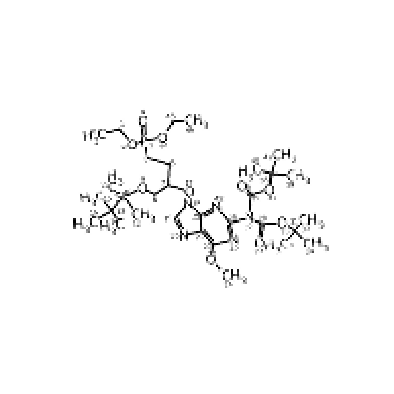 CCOP(=O)(CCC(CO[Si](C)(C)C(C)(C)C)On1cnc2c(OC)nc(N(C(=O)OC(C)(C)C)C(=O)OC(C)(C)C)nc21)OCC